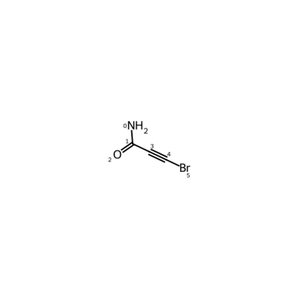 NC(=O)C#CBr